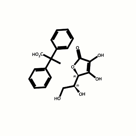 CC(C(=O)O)(c1ccccc1)c1ccccc1.O=C1O[C@H]([C@@H](O)CO)C(O)=C1O